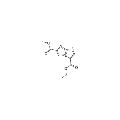 CCOC(=O)c1csc2nc(C(=O)OC)cn12